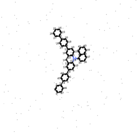 c1ccc(-c2ccc(-c3ccc4c(c3)Cc3cc(-c5ccc(-c6ccccc6)cc5)ccc3N4c3cccc4ccccc34)cc2)cc1